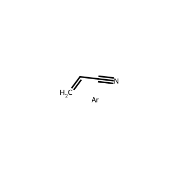 C=CC#N.[Ar]